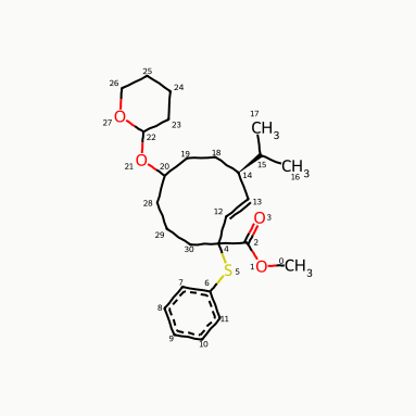 COC(=O)C1(Sc2ccccc2)/C=C/[C@H](C(C)C)CCC(OC2CCCCO2)CCC1